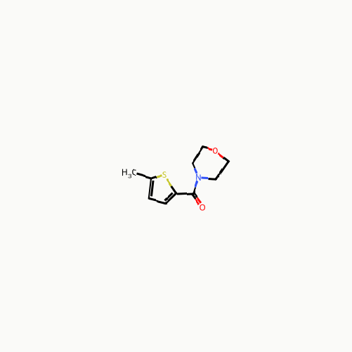 Cc1ccc(C(=O)N2CCOCC2)s1